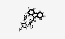 N#C[C@H]1C[C@H](F)CN1C(=O)OCC1c2ccccc2-c2ccccc21